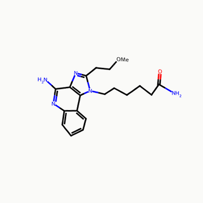 COCCc1nc2c(N)nc3ccccc3c2n1CCCCCC(N)=O